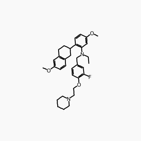 CCN(Cc1ccc(OCCN2CCCCC2)c(F)c1)c1cc(OC)ccc1C1CCc2cc(OC)ccc2C1